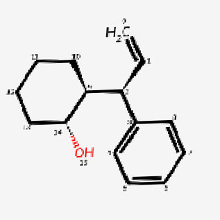 C=C[C@@H](c1ccccc1)[C@@H]1CCCC[C@H]1O